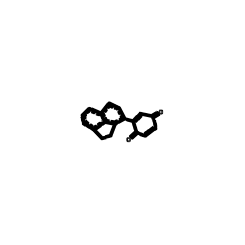 O=C1C=CC(=O)C(c2ccc3cccc4c3c2CC4)=C1